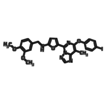 COc1ccc(CNc2ccc(-c3nc(Oc4ccc(I)cc4)c(C)c4ncnn34)o2)cc1OC